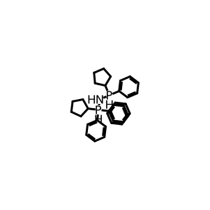 c1ccc([PH](N[PH](c2ccccc2)(c2ccccc2)C2CCCC2)(c2ccccc2)C2CCCC2)cc1